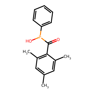 Cc1cc(C)c(C(=O)P(O)c2ccccc2)c(C)c1